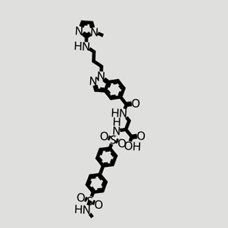 CNS(=O)(=O)c1ccc(-c2ccc(S(=O)(=O)NC(CNC(=O)c3ccc4c(cnn4CCCNc4nccn4C)c3)C(=O)O)cc2)cc1